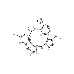 CCn1nnc2c1-c1cnc(N)c(c1)O[C@H](C)c1cc(F)ccc1-c1c(cnn1C)C2